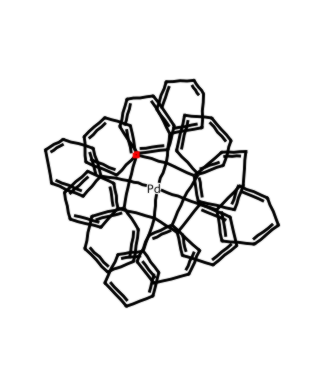 c1ccc([C](c2ccccc2)(c2ccccc2)[Pd]([C](c2ccccc2)(c2ccccc2)c2ccccc2)([C](c2ccccc2)(c2ccccc2)c2ccccc2)[C](c2ccccc2)(c2ccccc2)c2ccccc2)cc1